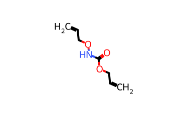 C=CCONC(=O)OCC=C